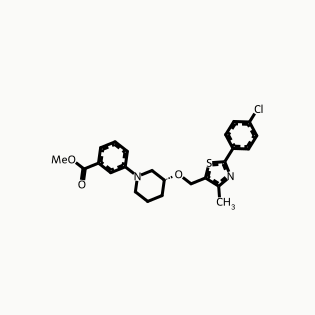 COC(=O)c1cccc(N2CCC[C@@H](OCc3sc(-c4ccc(Cl)cc4)nc3C)C2)c1